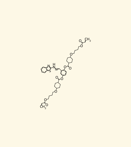 C=CC(=O)OCCCCOC1CCC(C(=O)Oc2ccc(OC(=O)C3CCC(OCCCCOC(=O)C=C)CC3)c(/C=N/Nc3nc4ccccc4s3)c2)CC1